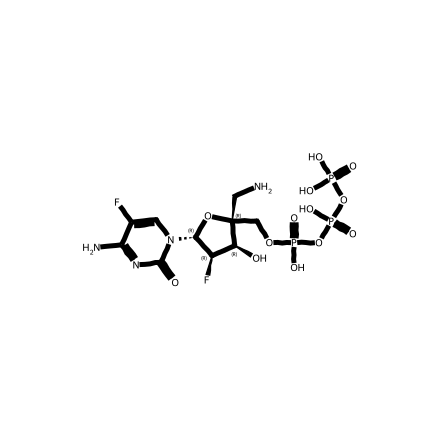 NC[C@]1(COP(=O)(O)OP(=O)(O)OP(=O)(O)O)O[C@@H](n2cc(F)c(N)nc2=O)[C@H](F)[C@@H]1O